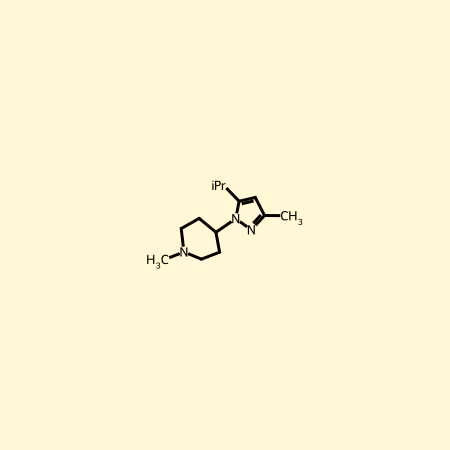 Cc1cc(C(C)C)n(C2CCN(C)CC2)n1